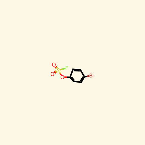 O=S(=O)(F)Oc1ccc(Br)cc1